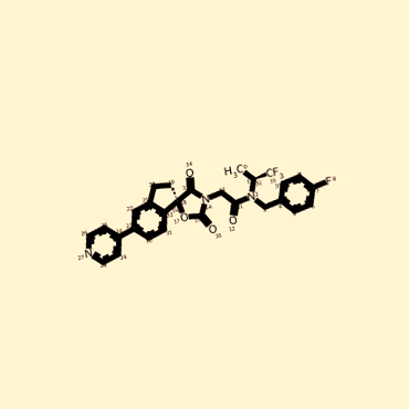 C[C@H](N(Cc1ccc(F)cc1)C(=O)CN1C(=O)O[C@]2(CCc3cc(-c4ccncc4)ccc32)C1=O)C(F)(F)F